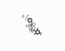 Cc1cc(F)cc(C)c1-c1nnc(NC(=O)N2CC=C(C(F)(F)F)CC2)o1